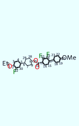 CCOc1ccc(C2CCC(OC(=O)c3ccc(-c4ccc(OC)cc4)c(F)c3F)CC2)cc1F